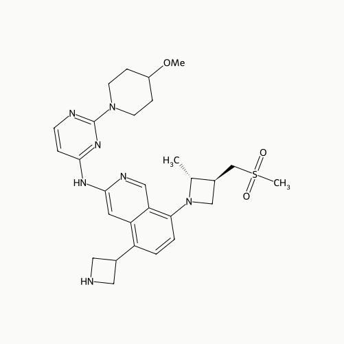 COC1CCN(c2nccc(Nc3cc4c(C5CNC5)ccc(N5C[C@H](CS(C)(=O)=O)[C@H]5C)c4cn3)n2)CC1